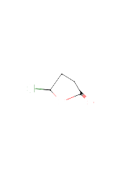 O=C1CCC(Cl)O1